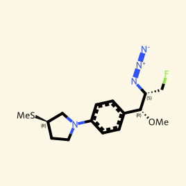 CO[C@H](c1ccc(N2CC[C@@H](SC)C2)cc1)[C@@H](CF)N=[N+]=[N-]